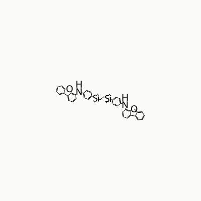 C[Si](C)(CC[Si](C)(C)c1ccc(Nc2cccc3c2oc2ccccc23)cc1)c1ccc(Nc2cccc3c2oc2ccccc23)cc1